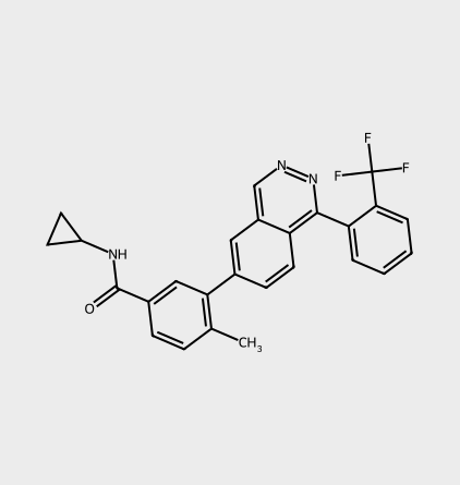 Cc1ccc(C(=O)NC2CC2)cc1-c1ccc2c(-c3ccccc3C(F)(F)F)nncc2c1